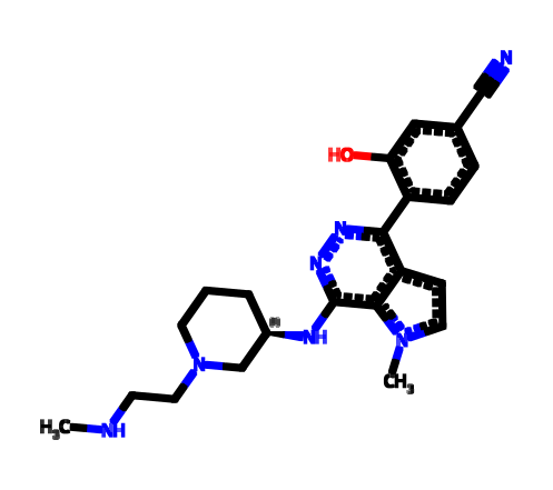 CNCCN1CCC[C@@H](Nc2nnc(-c3ccc(C#N)cc3O)c3ccn(C)c23)C1